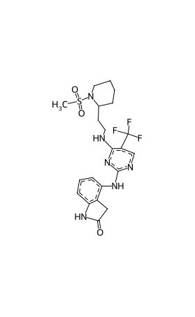 CS(=O)(=O)N1CCCCC1CCNc1nc(Nc2cccc3c2CC(=O)N3)ncc1C(F)(F)F